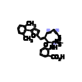 Cc1cccc(C)c1-c1ccc(C=C2/C=C/C=C\S/[N+]([S-])=C(/Nc3ccccc3C(=O)O)C2=O)o1